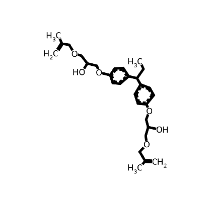 C=C(C)COCC(O)COc1ccc(C(CC)c2ccc(OCC(O)COCC(=C)C)cc2)cc1